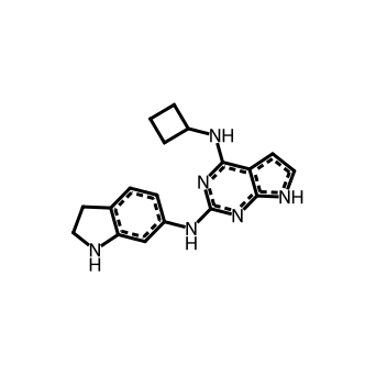 c1cc2c(NC3CCC3)nc(Nc3ccc4c(c3)NCC4)nc2[nH]1